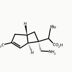 CC1=C[C@H]2[C@H](C1)C[C@@]2(CN)C(C(=O)O)C(C)(C)C